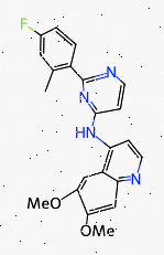 COc1cc2nccc(Nc3ccnc(-c4ccc(F)cc4C)n3)c2cc1OC